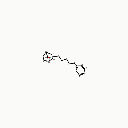 c1ccc(CCCCCN2CC3CCC(CC3)C2)cc1